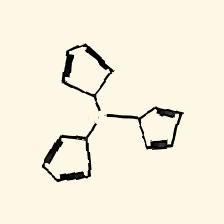 C1=C[CH]([Ce]([CH]2C=CC=C2)[CH]2C=CC=C2)C=C1